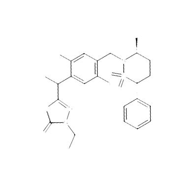 CCn1nc(C(C)c2cc(F)c(CN3[C@@H](C)CC[C@H](c4ccccc4)S3(=O)=O)cc2F)oc1=O